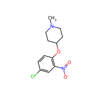 CN1CCC(Oc2ccc(Cl)cc2[N+](=O)[O-])CC1